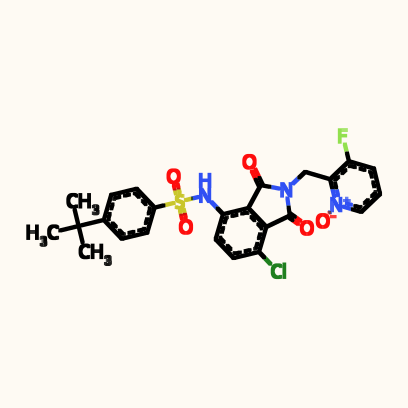 CC(C)(C)c1ccc(S(=O)(=O)Nc2ccc(Cl)c3c2C(=O)N(Cc2c(F)ccc[n+]2[O-])C3=O)cc1